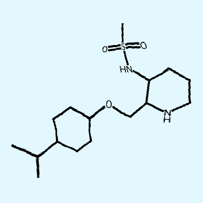 CC(C)C1CCC(OCC2NCCCC2NS(C)(=O)=O)CC1